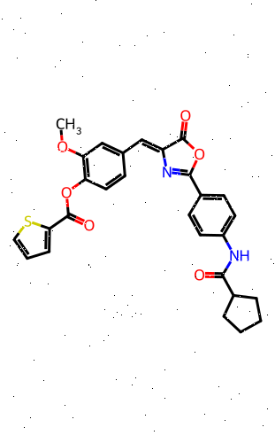 COc1cc(/C=C2\N=C(c3ccc(NC(=O)C4CCCC4)cc3)OC2=O)ccc1OC(=O)c1cccs1